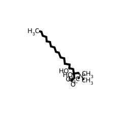 CCCCCCCCCCCCCCC(O)CC(O)(CC(=O)[O-])C[N+](C)(C)C